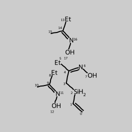 C=C[SiH2]CC(CC)=NO.CCC(C)=NO.CCC(C)=NO